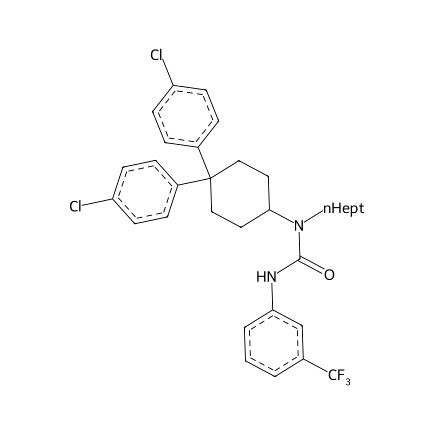 CCCCCCCN(C(=O)Nc1cccc(C(F)(F)F)c1)C1CCC(c2ccc(Cl)cc2)(c2ccc(Cl)cc2)CC1